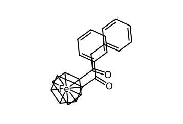 O=C(Cc1ccccc1)[C]12[CH]3[CH]4[CH]5[CH]1[Fe]45321678[CH]2[CH]1[CH]6[C]7(C(=O)c1ccccc1)[CH]28